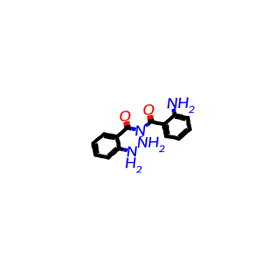 Nc1ccccc1C(=O)N(N)C(=O)c1ccccc1N